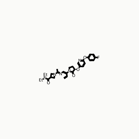 C=C/C(=C\N=C(/C)N1CC(C(=O)N(CC)CC)C1)N1CC[C@@H](Oc2ccc(Oc3ccc(F)cc3)nc2)C1=O